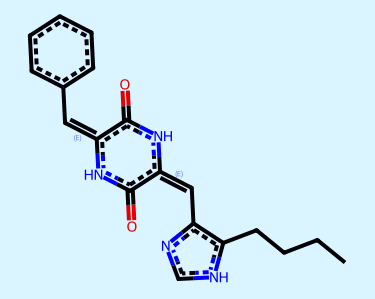 CCCCc1[nH]cnc1/C=c1/[nH]c(=O)/c(=C\c2ccccc2)[nH]c1=O